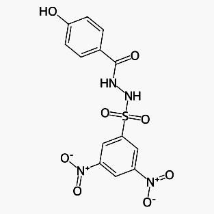 O=C(NNS(=O)(=O)c1cc([N+](=O)[O-])cc([N+](=O)[O-])c1)c1ccc(O)cc1